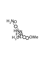 COc1ccc2cc(CN(C)c3ncnc(NCc4ccc(CC(N)=O)cc4)c3F)ccc2c1